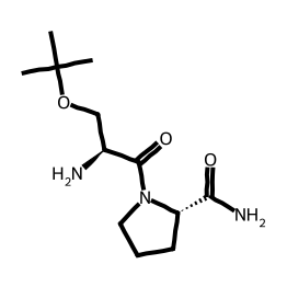 CC(C)(C)OC[C@H](N)C(=O)N1CCC[C@H]1C(N)=O